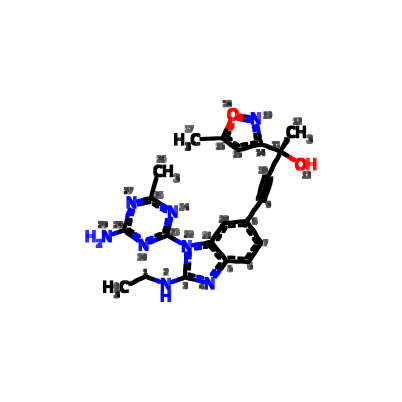 CCNc1nc2ccc(C#C[C@@](C)(O)c3cc(C)on3)cc2n1-c1nc(C)nc(N)n1